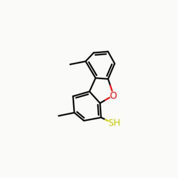 Cc1cc(S)c2oc3cccc(C)c3c2c1